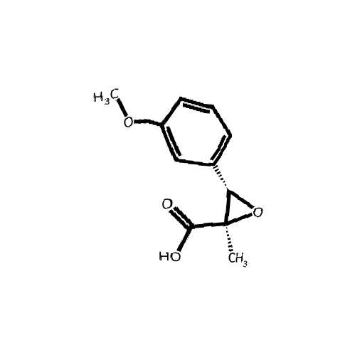 COc1cccc([C@@H]2O[C@@]2(C)C(=O)O)c1